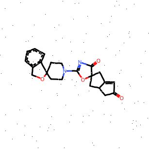 O=C1C=C2CC3(CC2C1)OC(N1CCC2(CC1)OCc1ccccc12)=NC3=O